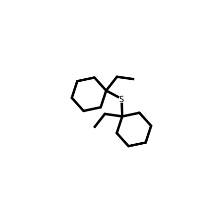 CCC1(SC2(CC)CCCCC2)CCCCC1